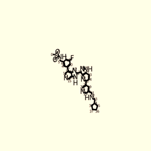 CS(=O)(=O)NCc1cc(F)cc(-c2cncc3[nH]c(-c4n[nH]c5ccc(-c6cncc(CNCC7CCCC7)c6)nc45)nc23)c1